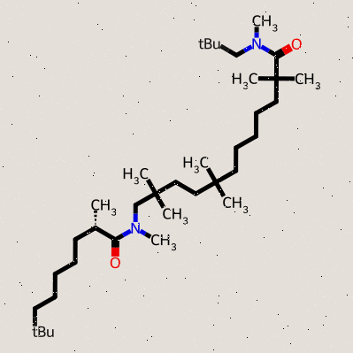 C[C@@H](CCCCCC(C)(C)C)C(=O)N(C)CC(C)(C)CCC(C)(C)CCCCCC(C)(C)C(=O)N(C)CC(C)(C)C